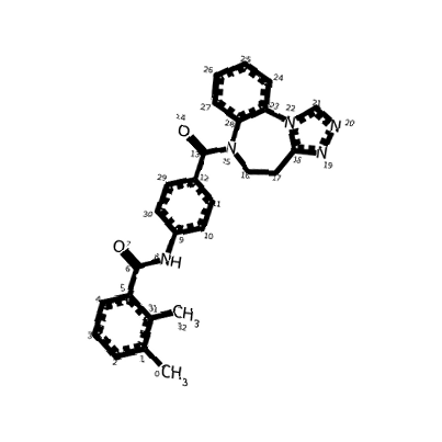 Cc1cccc(C(=O)Nc2ccc(C(=O)N3CCc4nncn4-c4ccccc43)cc2)c1C